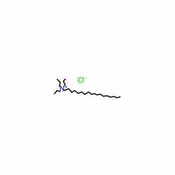 CCCCCCCCCCCCCCCCCC[N+](CCC)(CCC)CCC.[Cl-]